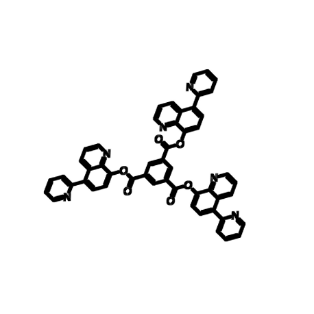 O=C(Oc1ccc(-c2ccccn2)c2cccnc12)c1cc(C(=O)Oc2ccc(-c3ccccn3)c3cccnc23)cc(C(=O)Oc2ccc(-c3ccccn3)c3cccnc23)c1